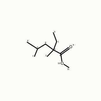 CCC(C)(CC(C)C)C(=O)OC